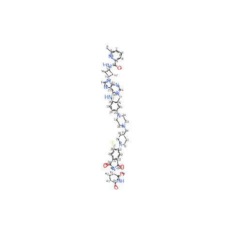 Cc1cccc(C(=O)NC2CC(n3cnc4c(Nc5ccc(N6CCN(CC7CCN(c8cc9c(cc8F)C(=O)N([C@H]8CCC(=O)NC8=O)C9=O)CC7)CC6)cc5C)ncnc43)C2)n1